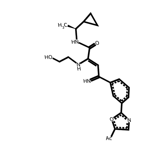 CC(=O)c1cnc(-c2cccc(C(=N)/C=C(\NCCO)C(=O)N[C@@H](C)C3CC3)c2)o1